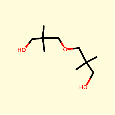 CC(C)(CO)COCC(C)(C)CO